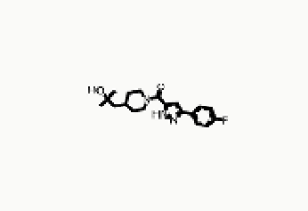 CC(C)(O)CC1CCN(C(=O)c2cc(-c3ccc(F)cc3)n[nH]2)CC1